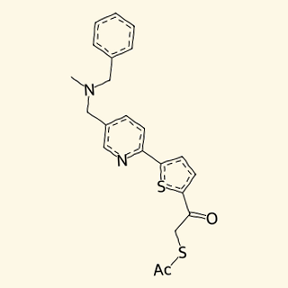 CC(=O)SCC(=O)c1ccc(-c2ccc(CN(C)Cc3ccccc3)cn2)s1